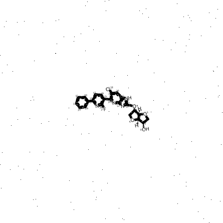 O[C@@H]1CO[C@H]2[C@@H]1OC[C@H]2Oc1nc2nc(-c3ccc(-c4ccccc4)nc3F)c(Cl)cc2[nH]1